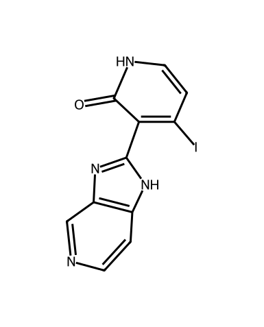 O=c1[nH]ccc(I)c1-c1nc2cnccc2[nH]1